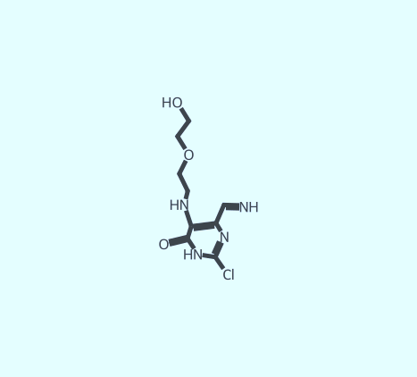 N=Cc1nc(Cl)[nH]c(=O)c1NCCOCCO